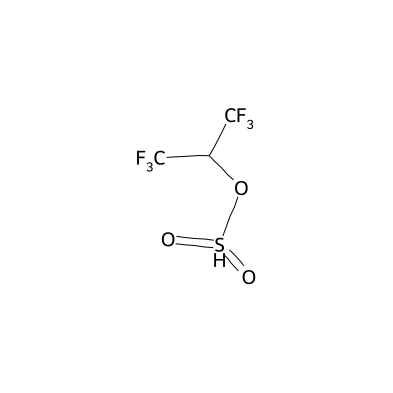 O=[SH](=O)OC(C(F)(F)F)C(F)(F)F